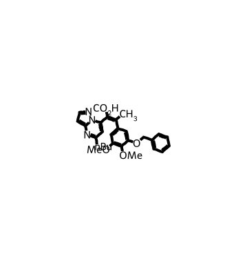 CCCCc1cc(C(C(=O)O)=C(C)c2cc(OC)c(OC)c(OCc3ccccc3)c2)n2nccc2n1